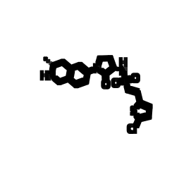 C[C@@H]1Cc2cc(N3CC[C@H](NS(=O)(=O)/C=C/c4ccc(Cl)s4)C3=O)ccc2CN1